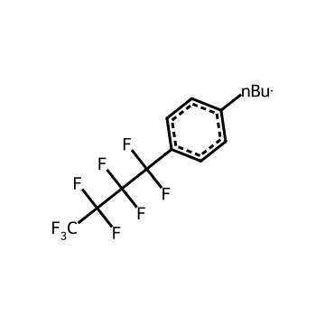 CCC[CH]c1ccc(C(F)(F)C(F)(F)C(F)(F)C(F)(F)F)cc1